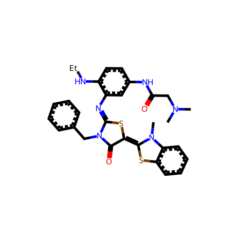 CCNc1ccc(NC(=O)CN(C)C)cc1N=C1SC(=C2Sc3ccccc3N2C)C(=O)N1Cc1ccccc1